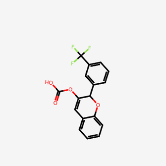 O=C(O)OC1=Cc2ccccc2OC1c1cccc(C(F)(F)F)c1